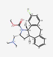 COC(=O)N1[C@@H](CN(C)C)C[C@@H]2c3ccccc3Cc3ccc(F)cc3[C@H]21